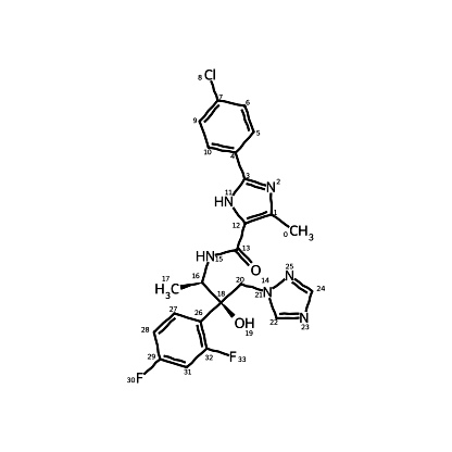 Cc1nc(-c2ccc(Cl)cc2)[nH]c1C(=O)N[C@H](C)[C@](O)(Cn1cncn1)c1ccc(F)cc1F